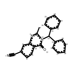 Cc1nc2cc(C#N)ccc2c(=O)n1C(c1ccccc1)c1ccccc1